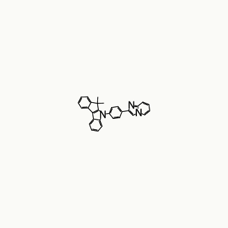 CC1(C)c2ccccc2-c2c1n(-c1ccc(-c3cn4ccccc4n3)cc1)c1ccccc21